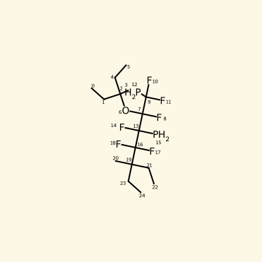 CCC(C)(CC)OC(F)(C(F)(F)P)C(F)(P)C(F)(F)C(C)(CC)CC